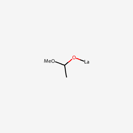 COC(C)[O][La]